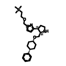 C[Si](C)(C)CCOCn1ccc([C@H]2CCN[C@H]2CO[C@H]2CC[C@@H](c3ccccc3)CC2)n1